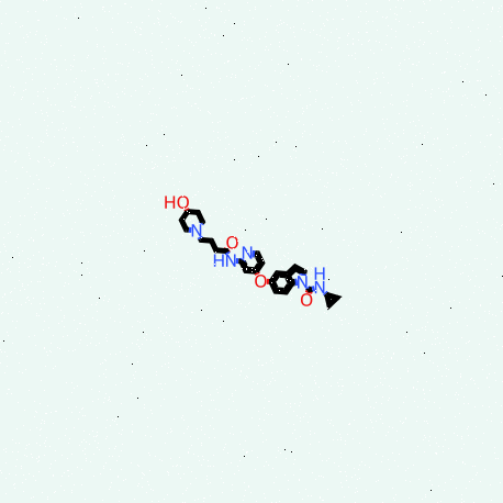 O=C(CCCN1CCC(O)CC1)Nc1cc(Oc2ccc3c(ccn3C(=O)NC3CC3)c2)ccn1